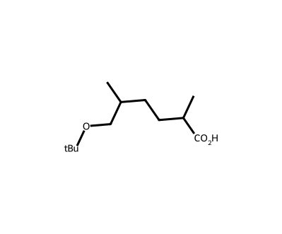 CC(CCC(C)C(=O)O)COC(C)(C)C